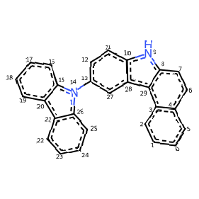 c1ccc2c(c1)ccc1[nH]c3ccc(-n4c5ccccc5c5ccccc54)cc3c12